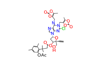 C#C[C@]1(CO)O[C@@H](n2cnc3/c(=N/Cc4oc(=O)oc4C)n(Cc4oc(=O)oc4C)c(Cl)nc32)C[C@@H]1OC(=O)CC(C)(C)c1c(C)cc(C)cc1OC(C)=O